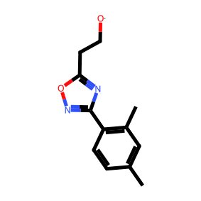 Cc1ccc(-c2noc(CC[O])n2)c(C)c1